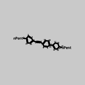 CCCCCc1ccc(C#Cc2ccc(C3=CCC(CCCCC)CC3)cc2)cc1